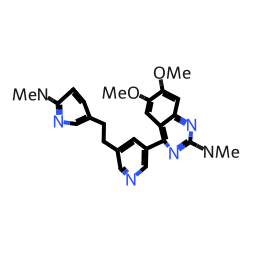 CNc1ccc(CCc2cncc(-c3nc(NC)nc4cc(OC)c(OC)cc34)c2)cn1